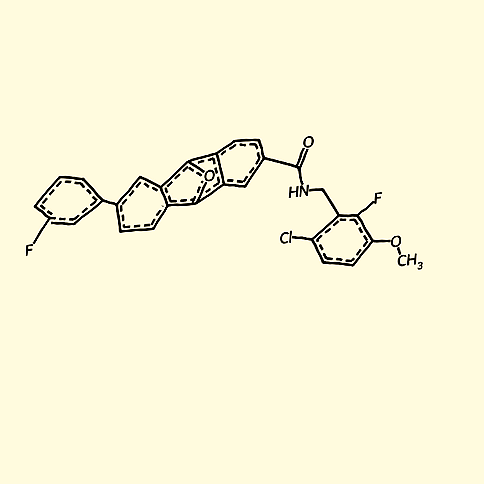 COc1ccc(Cl)c(CNC(=O)c2ccc3c(c2)c2oc3c3cc(-c4cccc(F)c4)ccc32)c1F